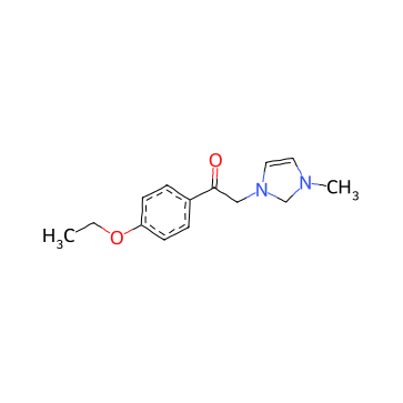 CCOc1ccc(C(=O)CN2C=CN(C)C2)cc1